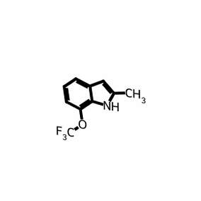 Cc1cc2cccc(OC(F)(F)F)c2[nH]1